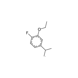 [CH2]C(C)c1ccc(F)c(OCC)c1